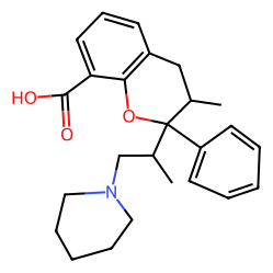 CC1Cc2cccc(C(=O)O)c2OC1(c1ccccc1)C(C)CN1CCCCC1